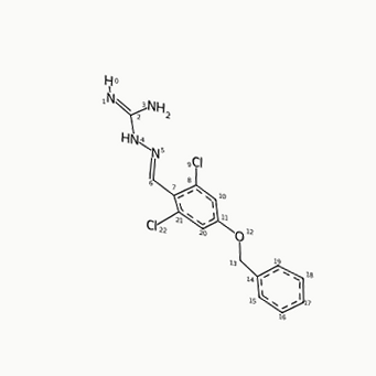 [H]/N=C(\N)NN=Cc1c(Cl)cc(OCc2ccccc2)cc1Cl